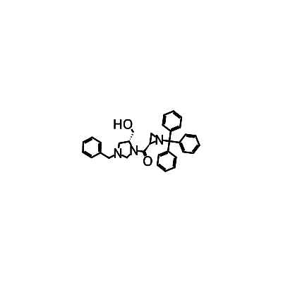 O=C([C@H]1CN1C(c1ccccc1)(c1ccccc1)c1ccccc1)N1CN(Cc2ccccc2)C[C@@H]1CO